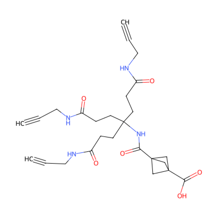 C#CCNC(=O)CCC(CCC(=O)NCC#C)(CCC(=O)NCC#C)NC(=O)C12CC(C(=O)O)(C1)C2